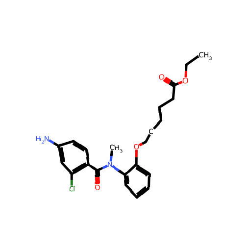 CCOC(=O)CCCCCOc1ccccc1N(C)C(=O)c1ccc(N)cc1Cl